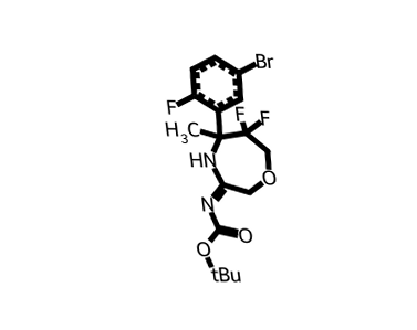 CC(C)(C)OC(=O)/N=C1\COCC(F)(F)C(C)(c2cc(Br)ccc2F)N1